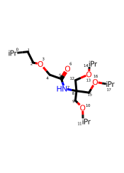 CC(C)CCOCC(=O)NC(COC(C)C)(COC(C)C)COC(C)C